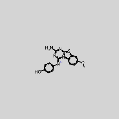 COc1ccc2c(c1)sc1nc(N)n/c(=N\c3ccc(O)cc3)n12